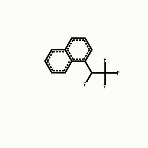 F[C](c1cccc2ccccc12)C(F)(F)F